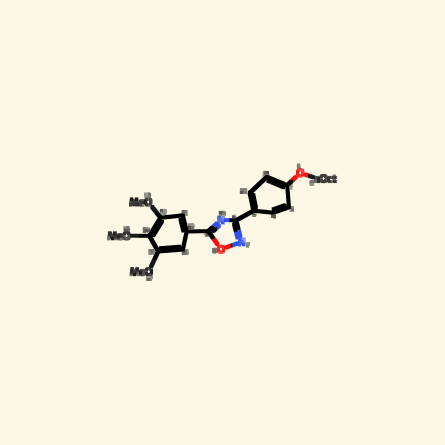 CCCCCCCCOc1ccc(-c2noc(-c3cc(OC)c(OC)c(OC)c3)n2)cc1